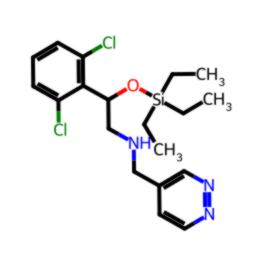 CC[Si](CC)(CC)OC(CNCc1ccnnc1)c1c(Cl)cccc1Cl